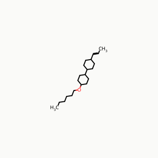 C/C=C/C1CCC(C2CCC(OCCCCCC)CC2)CC1